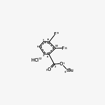 CC(C)(C)OC(=O)c1cccc(F)c1F.Cl